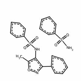 Cc1onc(-c2ccccc2)c1NS(=O)(=O)c1ccccc1.NS(=O)(=O)c1ccccc1